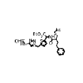 CCOC(=O)C(NC(=O)C(CCc1ccccc1)CSC(C)=O)c1ccc(Cn2cc(NC=O)nn2)s1